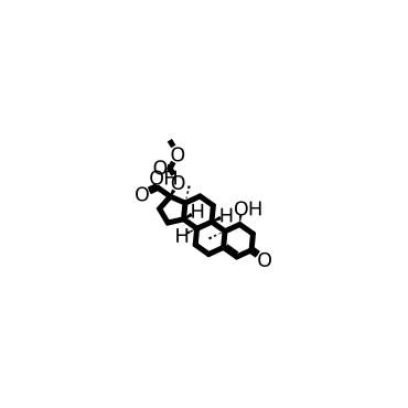 COC(=O)O[C@]1(C(=O)O)CC[C@H]2[C@@H]3CCC4=CC(=O)C[C@@H](O)[C@]4(C)[C@H]3CC[C@@]21C